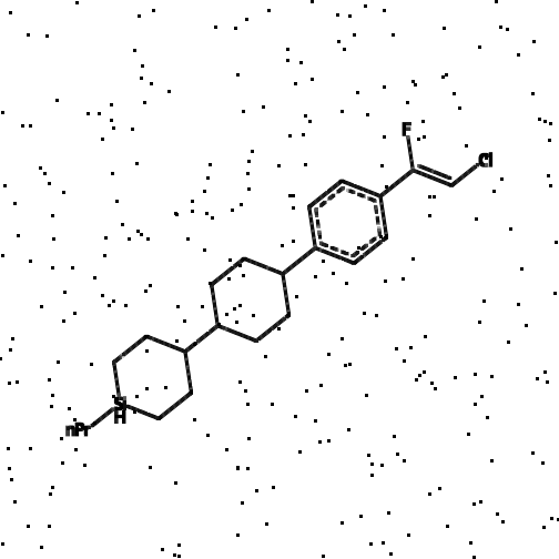 CCC[SiH]1CCC(C2CCC(c3ccc(C(F)=CCl)cc3)CC2)CC1